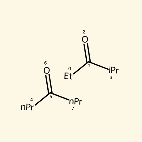 CCC(=O)C(C)C.CCCC(=O)CCC